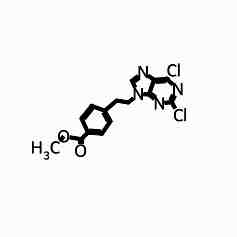 COC(=O)c1ccc(CCn2cnc3c(Cl)nc(Cl)nc32)cc1